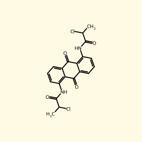 CC(Cl)C(=O)Nc1cccc2c1C(=O)c1cccc(NC(=O)C(C)Cl)c1C2=O